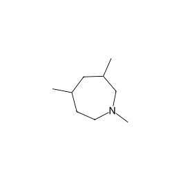 CC1CCN(C)CC(C)C1